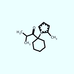 Cc1cccn1C1(C(=O)C(C)C)CCCCC1